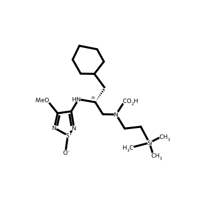 COc1n[s+]([O-])nc1N[C@H](CC1CCCCC1)CN(CC[Si](C)(C)C)C(=O)O